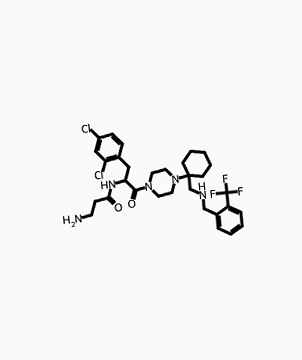 NCCC(=O)NC(Cc1ccc(Cl)cc1Cl)C(=O)N1CCN(C2(CNCc3ccccc3C(F)(F)F)CCCCC2)CC1